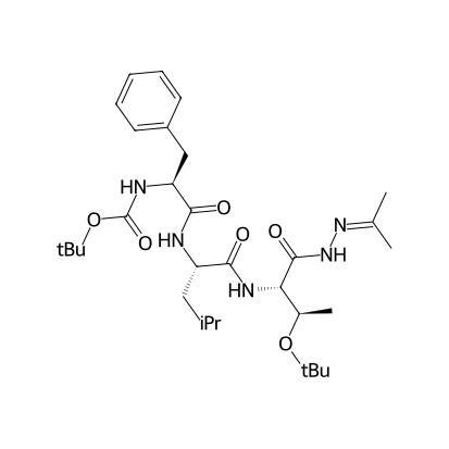 CC(C)=NNC(=O)[C@@H](NC(=O)[C@H](CC(C)C)NC(=O)[C@H](Cc1ccccc1)NC(=O)OC(C)(C)C)[C@@H](C)OC(C)(C)C